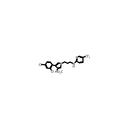 O=C(O)c1cn(CCCNc2ccc(C(F)(F)F)cn2)cc1-c1ccc(Cl)cc1Cl